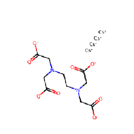 O=C([O-])CN(CCN(CC(=O)[O-])CC(=O)[O-])CC(=O)[O-].[Cs+].[Cs+].[Cs+].[Cs+]